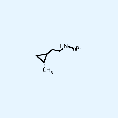 CCCNCCC1C[C@H]1C